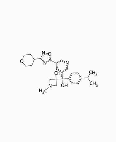 CC(C)c1ccc([C@](O)(c2cncc(-c3nc(C4CCOCC4)no3)c2)C2(C)CN(C)C2)cc1